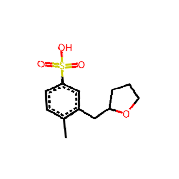 Cc1ccc(S(=O)(=O)O)cc1CC1CCCO1